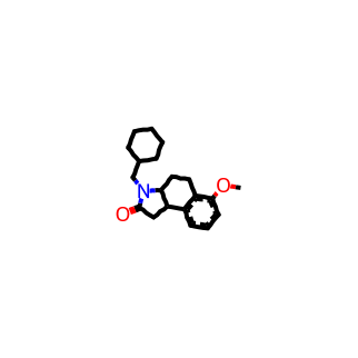 COc1cccc2c1CCC1C2CC(=O)N1CC1CCCCC1